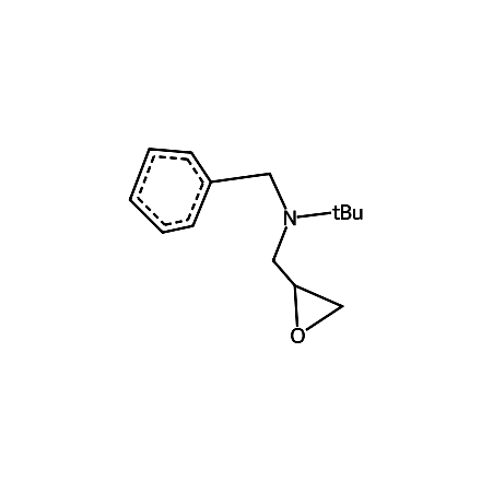 CC(C)(C)N(Cc1ccccc1)CC1CO1